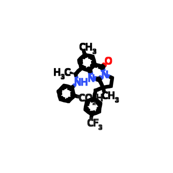 Cc1cc([C@@H](C)Nc2ccccc2C(=O)O)c2nc3n(c(=O)c2c1)CCC3(C)Cc1ccc(C(F)(F)F)cc1